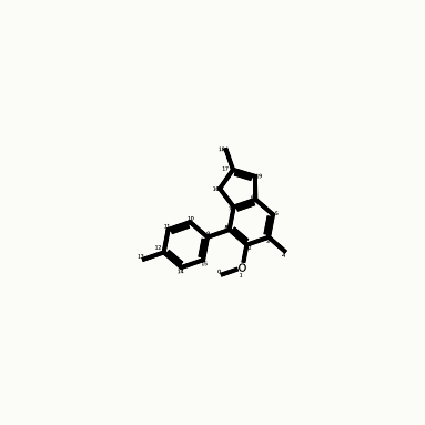 COc1c(C)cc2c(c1-c1ccc(C)cc1)CC(C)=C2